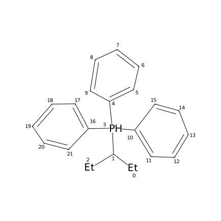 CCC(CC)[PH](c1ccccc1)(c1ccccc1)c1ccccc1